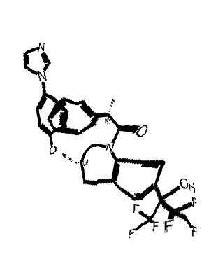 C[C@H](C(=O)N1C[C@@H](Oc2ccc(-n3ccnc3)cc2)CCc2cc(C(O)(C(F)(F)F)C(F)(F)F)ccc21)c1ccccc1